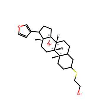 C[C@]12CCC(SCCO)CC1CC[C@@H]1[C@H]2CC[C@]2(C)C(c3ccoc3)CC[C@@]12O